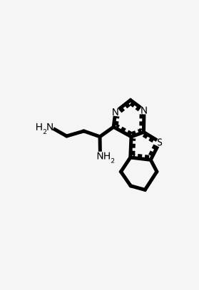 NCCC(N)c1ncnc2sc3c(c12)CCCC3